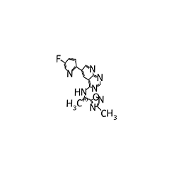 Cc1noc([C@@H](C)Nc2ncnc3ncc(-c4ccc(F)cn4)cc23)n1